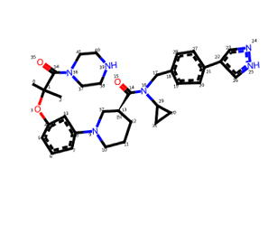 CC(C)(Oc1cccc(N2CCC[C@H](C(=O)N(Cc3ccc(-c4cn[nH]c4)cc3)C3CC3)C2)c1)C(=O)N1CCNCC1